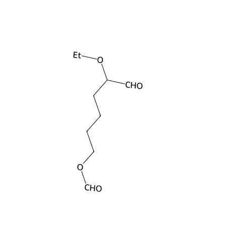 CCOC(C=O)CCCCOC=O